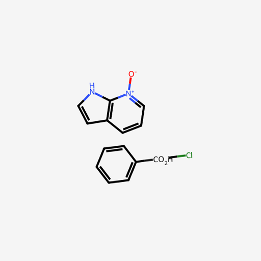 CCl.O=C(O)c1ccccc1.[O-][n+]1cccc2cc[nH]c21